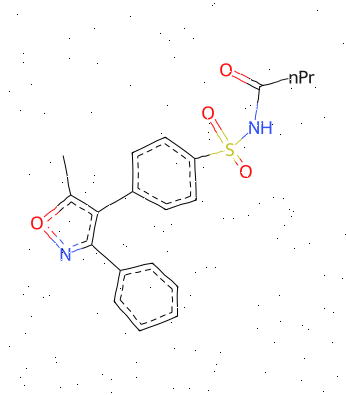 CCCC(=O)NS(=O)(=O)c1ccc(-c2c(-c3ccccc3)noc2C)cc1